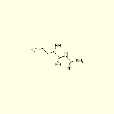 CCCN(N)C(=N)NC(=N)N